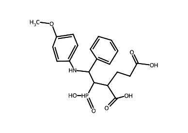 COc1ccc(NC(c2ccccc2)C(C(CCC(=O)O)C(=O)O)[PH](=O)O)cc1